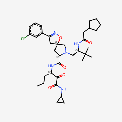 CCC[C@H](NC(=O)[C@@H]1C[C@]2(CC(c3cccc(Cl)c3)=NO2)CN1C[C@@H](NC(=O)CC1CCCC1)C(C)(C)C)C(=O)C(=O)NC1CC1